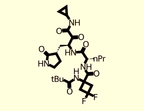 CCC[C@H](NC(=O)C1(NC(=O)C(C)(C)C)CC(F)(F)C1)C(=O)N[C@@H](C[C@@H]1CCNC1=O)C(=O)C(=O)NC1CC1